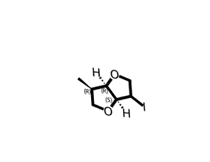 C[C@@H]1CO[C@@H]2C(I)CO[C@H]12